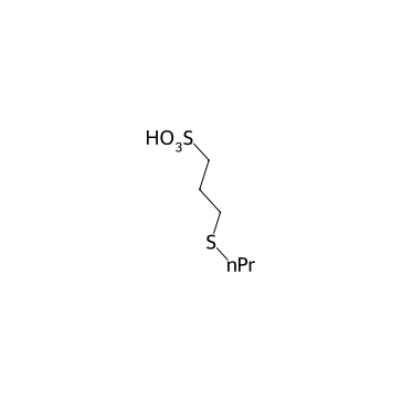 CCCSCCCS(=O)(=O)O